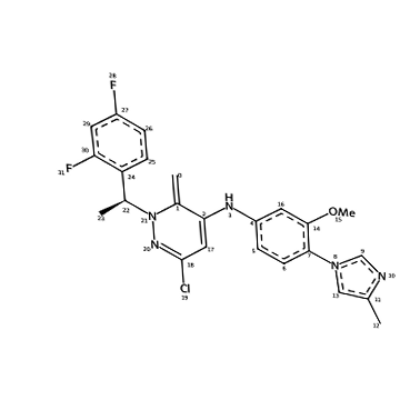 C=C1C(Nc2ccc(-n3cnc(C)c3)c(OC)c2)=CC(Cl)=NN1[C@@H](C)c1ccc(F)cc1F